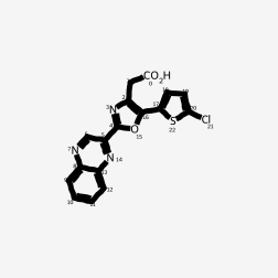 O=C(O)Cc1nc(-c2cnc3ccccc3n2)oc1-c1ccc(Cl)s1